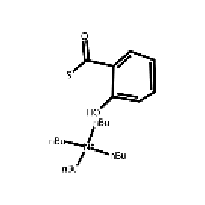 CCCC[N+](CCCC)(CCCC)CCCC.O=C([S-])c1ccccc1O